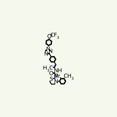 C/C(=C\c1ccc(-c2ncn(-c3ccc(OC(F)(F)F)cc3)n2)cc1)NC(=O)/N=C1\SCCCN1c1cccc(C)c1C(C)C